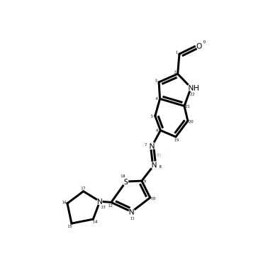 O=Cc1cc2cc(/N=N/c3cnc(N4CCCC4)s3)ccc2[nH]1